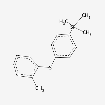 Cc1ccccc1Sc1ccc([Si](C)(C)C)cc1